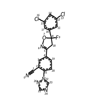 N#Cc1cc(C2=NOC(F)(c3cc(Cl)cc(Cl)c3)C2)ccc1-n1cncn1